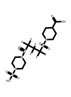 O=C(O)C1CCN(S(=O)(=O)C(F)(F)C(F)(F)C(F)(F)S(=O)(=O)N2CCN(S(=O)(=O)O)CC2)CC1